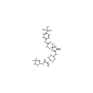 CC1(C)OCC(CNC(=O)[C@H]2CC[C@H](CN3CC4(CCN(Cc5ccc(C(F)(F)F)cc5)CC4)OC3=O)CC2)O1